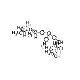 COC(=O)N[C@H](C(=O)N1CCC[C@H]1c1ncc(-c2ccc(-c3ccc(-c4ccc(-c5cnc([C@@H]6CCCN6C(=O)[C@@H](NC(=O)O)C(C)C)[nH]5)cc4)n3-c3ccc(N4CCCCC4)cc3)cc2)[nH]1)C(C)C